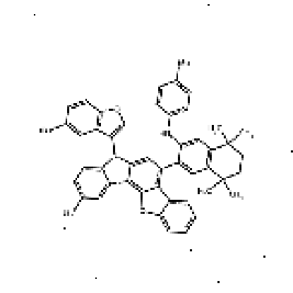 CC(C)(C)c1ccc(Nc2cc3c(cc2-c2cc4c(c5cc(C(C)(C)C)ccc5n4-c4coc5ccc(C(C)(C)C)cc45)c4oc5ccccc5c24)C(C)(C)CCC3(C)C)cc1